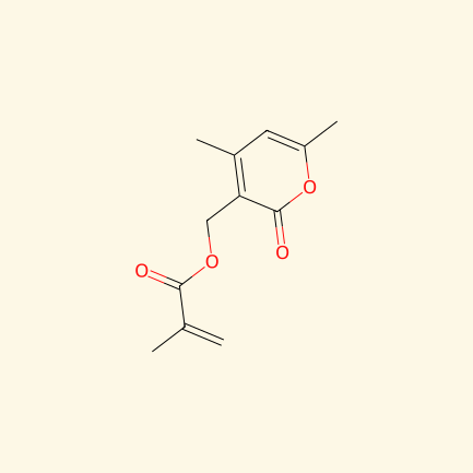 C=C(C)C(=O)OCc1c(C)cc(C)oc1=O